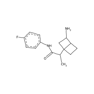 CC(C(=O)Nc1ccc(F)cc1)C12CCC1C(N)C2